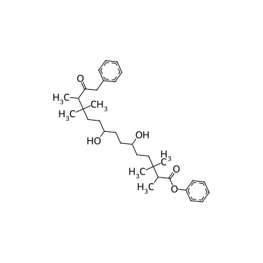 CC(C(=O)Cc1ccccc1)C(C)(C)CCC(O)CCC(O)CCC(C)(C)C(C)C(=O)Oc1ccccc1